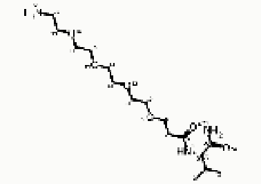 CC(C)[C@H](NC(=O)CCOCCOCCOCCOCCN)C(N)=O